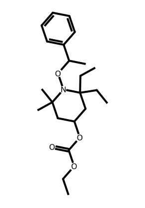 CCOC(=O)OC1CC(C)(C)N(OC(C)c2ccccc2)C(CC)(CC)C1